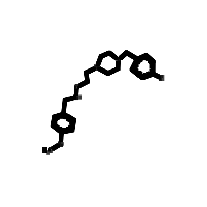 COc1ccc(CNOCCN2CCN(Cc3ccc(Cl)cc3)CC2)cc1